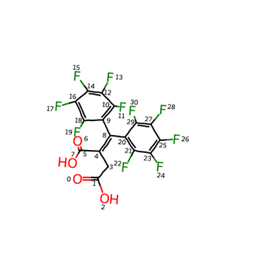 O=C(O)CC(C(=O)O)=C(c1c(F)c(F)c(F)c(F)c1F)c1c(F)c(F)c(F)c(F)c1F